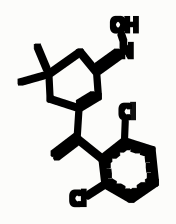 C=C(C1=C/C(=N/O)CC(C)(C)C1)c1c(Cl)cccc1Cl